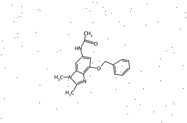 CC(=O)Nc1cc(OCc2ccccc2)c2nc(C)n(C)c2c1